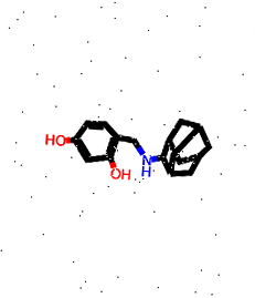 Oc1ccc(CNC2C3CC4CC(C3)CC2C4)c(O)c1